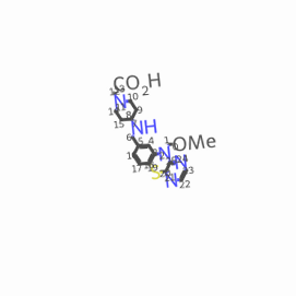 COCN1c2cc(CNC3CCN(CC(=O)O)CC3)ccc2Sc2nccnc21